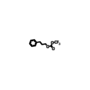 O=C(OCCCc1ccccc1)OC(F)(F)F